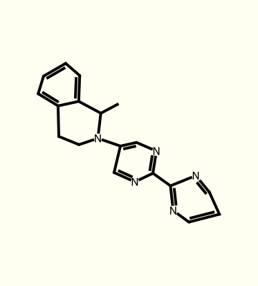 CC1c2ccccc2CCN1c1cnc(-c2ncccn2)nc1